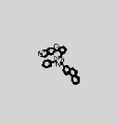 c1ccc(-c2nc(-c3ccc4c(ccc5ccccc54)c3)nc(-c3cccc4oc5cc6cnccc6cc5c34)n2)cc1